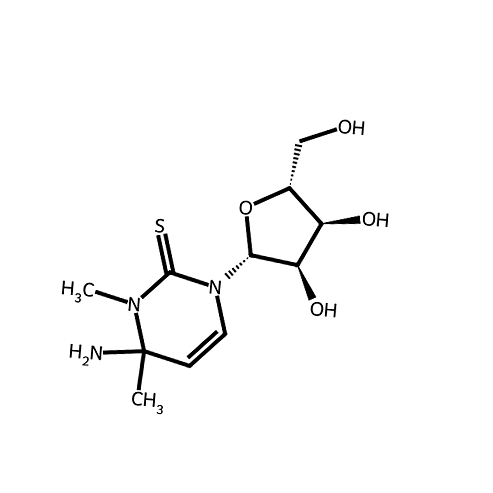 CN1C(=S)N([C@@H]2O[C@H](CO)[C@@H](O)[C@H]2O)C=CC1(C)N